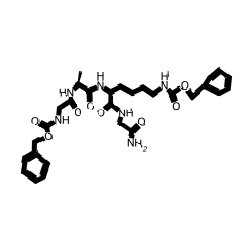 C[C@H](NC(=O)CNC(=O)OCc1ccccc1)C(=O)NC(CCCCNC(=O)OCc1ccccc1)C(=O)NCC(N)=O